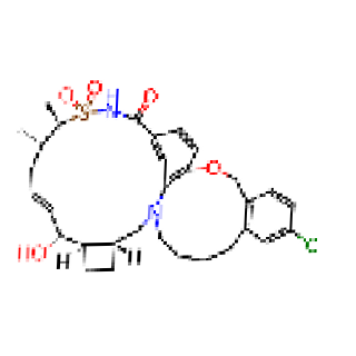 C[C@@H]1[C@@H](C)C/C=C/[C@@H](O)[C@@H]2CC[C@H]2CN2CCCCc3cc(Cl)ccc3COc3ccc(cc32)C(=O)NS1(=O)=O